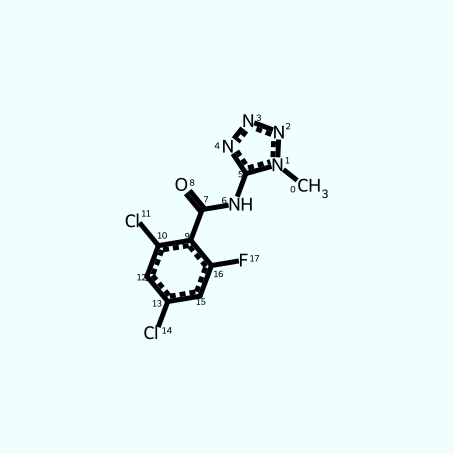 Cn1nnnc1NC(=O)c1c(Cl)[c]c(Cl)cc1F